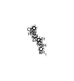 CCc1cc(-c2ncc(NS(=O)(=O)c3ccccc3Cl)nc2C)cc2cnc(N[C@H]3CC[C@H](N)CC3)nc12